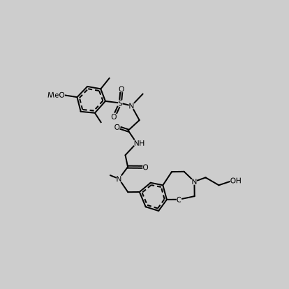 COc1cc(C)c(S(=O)(=O)N(C)CC(=O)NCC(=O)N(C)Cc2ccc3c(c2)CCN(CCO)CC3)c(C)c1